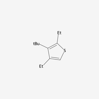 CCc1csc(CC)c1C(C)(C)C